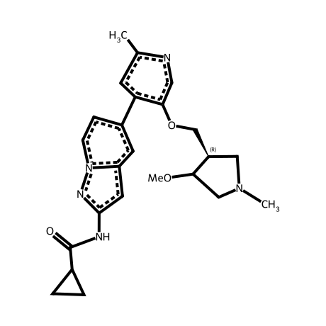 COC1CN(C)C[C@@H]1COc1cnc(C)cc1-c1ccn2nc(NC(=O)C3CC3)cc2c1